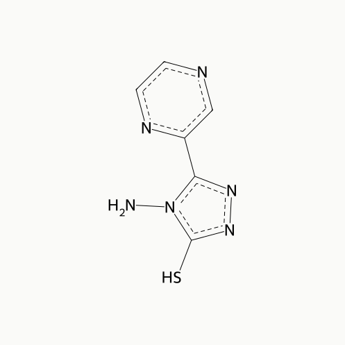 Nn1c(S)nnc1-c1cnccn1